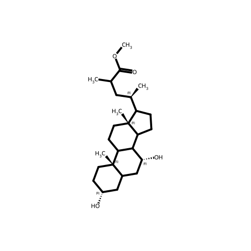 COC(=O)C(C)C[C@@H](C)C1CCC2C3C(CC[C@@]21C)[C@@]1(C)CC[C@@H](O)CC1C[C@H]3O